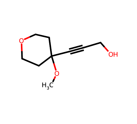 COC1(C#CCO)CCOCC1